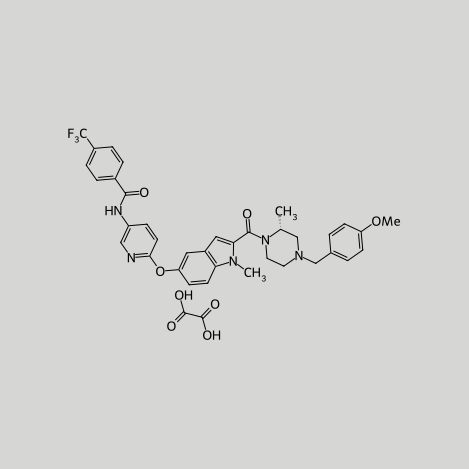 COc1ccc(CN2CCN(C(=O)c3cc4cc(Oc5ccc(NC(=O)c6ccc(C(F)(F)F)cc6)cn5)ccc4n3C)[C@H](C)C2)cc1.O=C(O)C(=O)O